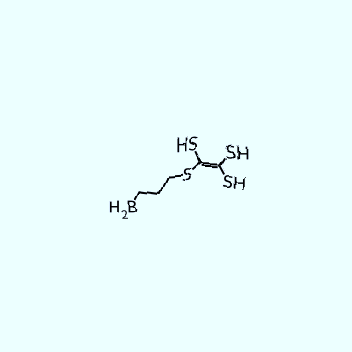 BCCCSC(S)=C(S)S